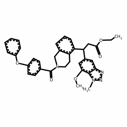 CCOC(=O)CC(c1cc(OC)c2c(c1)nnn2C)c1cccc2c1CCN(C(=O)c1ccc(Oc3ccccc3)cc1)C2